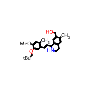 COc1cc(C)c(/C=C/C2NCCc3cc(C)c(CO)cc32)cc1OCC(C)(C)C